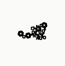 O=C(NC(COCc1ccccc1)C(=O)O)c1nc(-c2ccc(Oc3ccccc3)cc2)oc1-c1ccc(Cl)nc1Cl